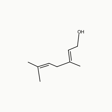 CC(C)=CCC(C)=CCO